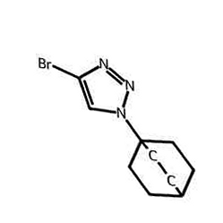 Brc1cn(C23CCC(CC2)CC3)nn1